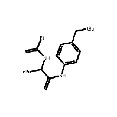 C=C(CC)NC(CCCC)C(=C)Nc1ccc(CC(C)(C)C)cc1